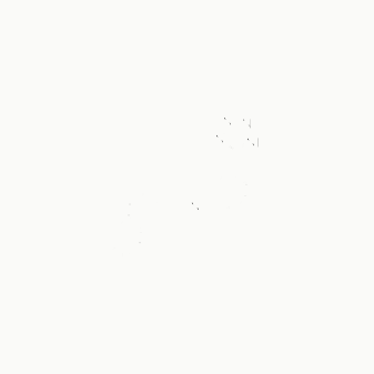 c1cc(NCc2ccc3ccccc3c2)cc(-c2nnn[nH]2)c1